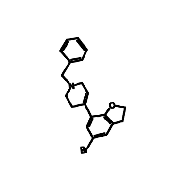 Brc1cc2c(c(C3=CCN(Cc4ccccc4)CC3)c1)OCC2